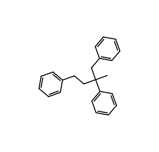 CC(CCc1ccccc1)(Cc1ccccc1)c1ccccc1